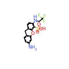 Nc1ccc2c(c1)Oc1c(ccc(NCC(F)(F)F)c1S(=O)(=O)O)C2